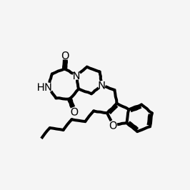 CCCCCCc1oc2ccccc2c1CN1CCN2C(=O)CNCC(=O)C2C1